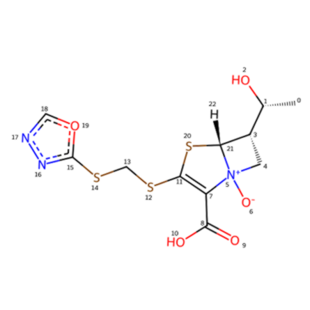 C[C@@H](O)[C@@H]1C[N+]2([O-])C(C(=O)O)=C(SCSc3nnco3)S[C@H]12